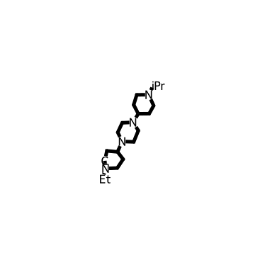 CCN1CCC(N2CCN(C3CCN(C(C)C)CC3)CC2)CC1